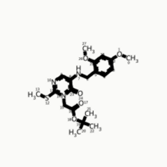 COc1ccc(CNc2cnc(SC)n(CC(=O)OC(C)(C)C)c2=O)c(OC)c1